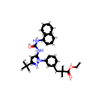 CCOC(=O)C(C)(C)Cc1cccc(-n2nc(C(C)(C)C)cc2NC(=O)Nc2cccc3ccccc23)c1